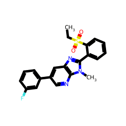 CCS(=O)(=O)c1ccccc1-c1nc2cc(-c3cccc(F)c3)cnc2n1C